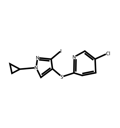 Clc1ccc(Sc2cn(C3CC3)nc2I)nc1